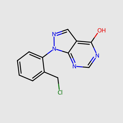 Oc1ncnc2c1cnn2-c1ccccc1CCl